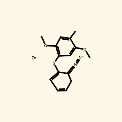 COc1cc(SC2=CC=CCC2=[N+]=[N-])c(OC)cc1C.[Zn]